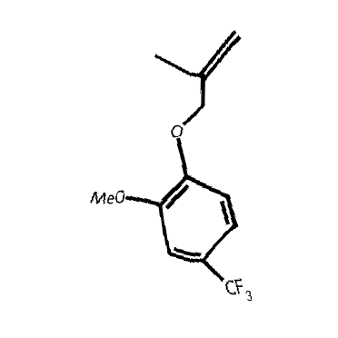 C=C(C)COc1ccc(C(F)(F)F)cc1OC